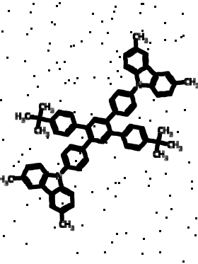 Cc1ccc2c(c1)c1cc(C)ccc1n2-c1ccc(-c2cc(-c3ccc(C(C)(C)C)cc3)c(-c3ccc(-n4c5ccc(C)cc5c5cc(C)ccc54)cc3)cc2-c2ccc(C(C)(C)C)cc2)cc1